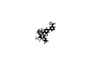 CC(=O)c1cccc(-c2ccc([C@H](N(C(=O)[C@@H](N)CC(C)(C)F)C3(C#N)CC3)C(F)(F)F)cc2)c1